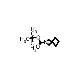 CC(C)(C)OC(=O)N1CC2(CCC2)C1